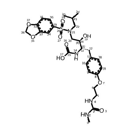 CNC(=O)NCCOc1ccc(C[C@H](NC(=O)O)[C@H](O)CN(CC(C)C)S(=O)(=O)c2ccc3c(c2)OCO3)cc1